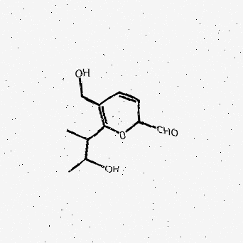 CC(O)C(C)C1=C(CO)C=CC(C=O)O1